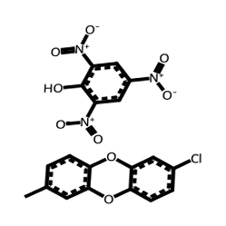 Cc1ccc2c(c1)Oc1ccc(Cl)cc1O2.O=[N+]([O-])c1cc([N+](=O)[O-])c(O)c([N+](=O)[O-])c1